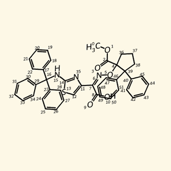 COC(=O)C1(ON=C(C(=O)O)c2csc(NC(c3ccccc3)(c3ccccc3)c3ccccc3)n2)CCCC1(c1ccccc1)c1ccccc1